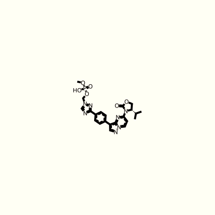 COP(=O)(O)OCn1cnc(-c2ccc(-c3cnn4ccc(N5C(=O)OC[C@@H]5C(C)C)nc34)cc2)n1